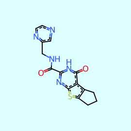 O=C(NCc1cnccn1)c1nc2sc3c(c2c(=O)[nH]1)CCC3